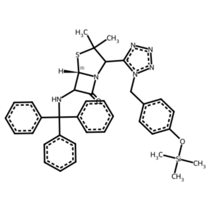 CC1(C)S[C@H]2C(NC(c3ccccc3)(c3ccccc3)c3ccccc3)C(=O)N2C1c1nnnn1Cc1ccc(O[Si](C)(C)C)cc1